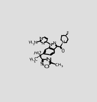 Cc1nc([C@](C)(O)c2ccc3c(C(=O)N4CCC(F)CC4)nn(-c4ccnc(N)n4)c3c2)no1